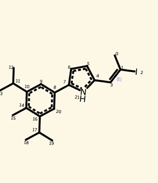 C/C(I)=C\c1ccc(-c2cc(C(C)C)c(C)c(C(C)C)c2)[nH]1